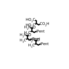 CCCC(C)CC(C)C(N)=O.CCCC(C)CC(C)C(N)=O.CCCC(C)CC(C)C(N)=O.O=C(O)CC(CC(=O)O)C(=O)O